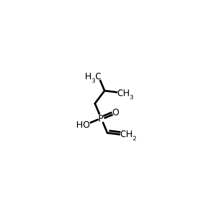 C=CP(=O)(O)CC(C)C